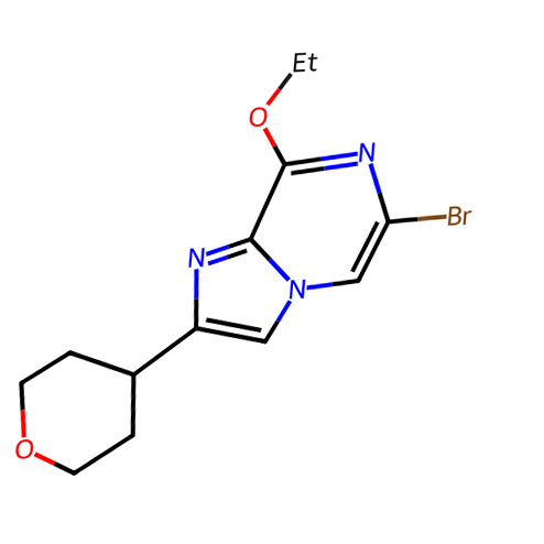 CCOc1nc(Br)cn2cc(C3CCOCC3)nc12